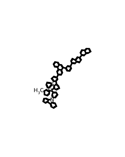 CC1C=C([Si](c2ccccc2)(c2cccc(-n3c4ccccc4c4ccccc43)c2)c2cccc3c2sc2ccc(-c4ccc5c(-c6cccc(-c7ccc8cc(-c9ccc%10ccccc%10c9)ccc8c7)c6)cc6ccccc6c5c4)cc23)C=CC1